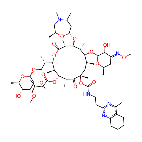 CO/N=C1\C[C@@H](C)O[C@@H](O[C@@H]2[C@@H](C)[C@H](O[C@H]3CC(C)N(C)C[C@H](C)O3)[C@@H](C)C(=O)O[C@H]([C@@H](C)CO[C@@H]3O[C@H](C)[C@@H](O)[C@@H](OC)[C@H]3OC)[C@H](C)[C@@H](OC(=O)CC(C)C)[C@@H](C)C(=O)[C@@](C)(OC(=O)NCCc3nc(C)c4c(n3)CCCC4)C[C@@H]2C)[C@@H]1O